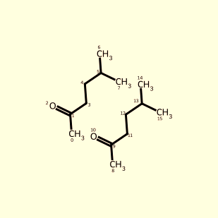 CC(=O)CCC(C)C.CC(=O)CCC(C)C